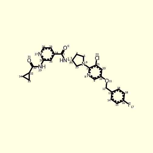 O=C(N[C@@H]1CCN(c2ncc(OCc3ccc(F)cc3)cc2Cl)C1)c1ccnc(NC(=O)C2CC2)c1